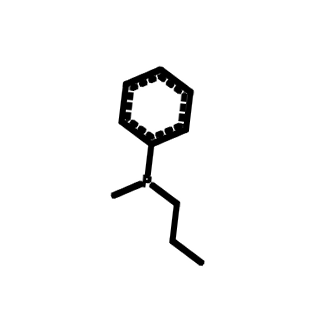 CCCP(C)c1ccccc1